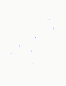 Cc1ncc(-c2nc(-c3nc(N)nc(N(C)c4ccccc4)n3)no2)cn1